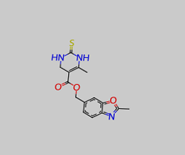 CC1=C(C(=O)OCc2ccc3nc(C)oc3c2)CNC(=S)N1